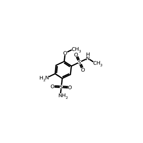 CNS(=O)(=O)c1cc(S(N)(=O)=O)c(N)cc1OC